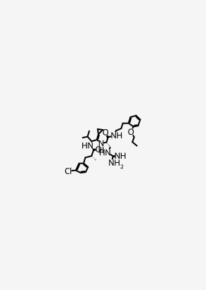 CCCOc1ccccc1CCCNC(=O)[C@H](CNC(=N)N)NC(=C1CC1)[C@H](NC(=O)[C@H](C)Cc1cccc(Cl)c1)C(C)C